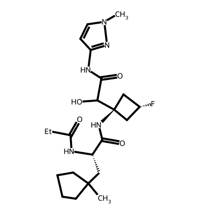 CCC(=O)N[C@@H](CC1(C)CCCC1)C(=O)N[C@]1(C(O)C(=O)Nc2ccn(C)n2)C[C@@H](F)C1